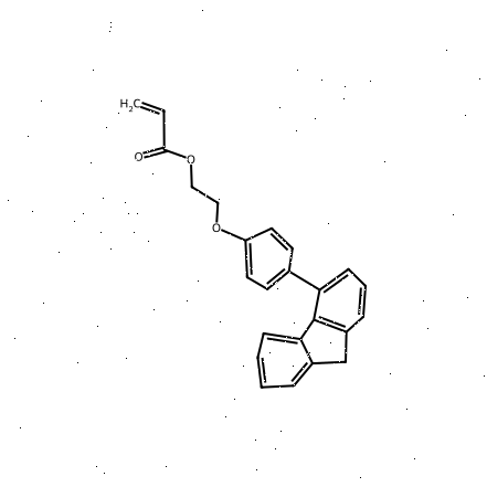 C=CC(=O)OCCOc1ccc(-c2cccc3c2-c2ccccc2C3)cc1